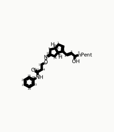 CCCCCC(O)C=CC1=CC[C@@H]2C/C(=N/OCCC(=O)Nc3ccccc3)C[C@@H]12